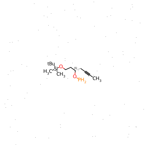 CC#CC[C@@H](CCO[Si](C)(C)C(C)(C)C)OP